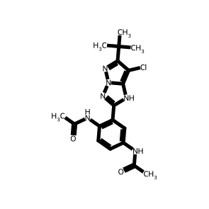 CC(=O)Nc1ccc(NC(C)=O)c(-c2nn3nc(C(C)(C)C)c(Cl)c3[nH]2)c1